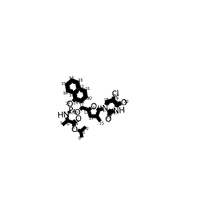 CC(C)OC(=O)C(C)N[P@](OCC1CC(C)C(n2cc(Cl)c(=O)[nH]c2=O)O1)Oc1cccc2ccccc12